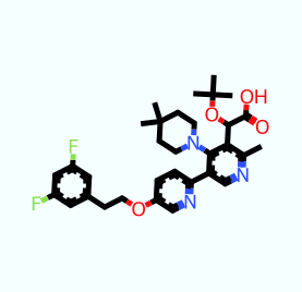 Cc1ncc(-c2ccc(OCCc3cc(F)cc(F)c3)cn2)c(N2CCC(C)(C)CC2)c1C(OC(C)(C)C)C(=O)O